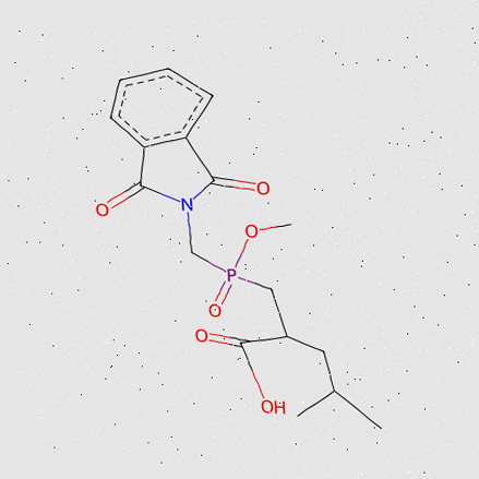 COP(=O)(CC(CC(C)C)C(=O)O)CN1C(=O)c2ccccc2C1=O